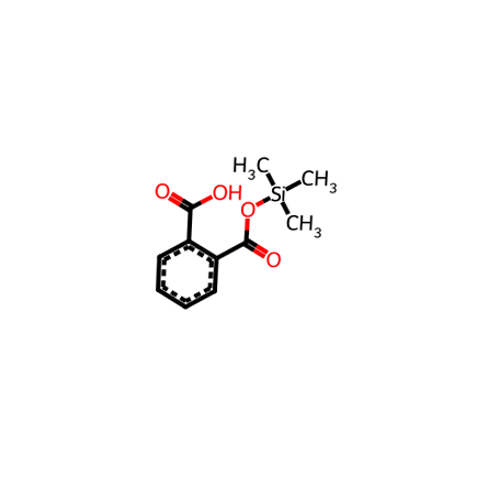 C[Si](C)(C)OC(=O)c1ccccc1C(=O)O